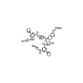 COC(=O)c1cc(NC2CN(C(C)=O)C2)nc(N2CC3CCC2C3)n1.COCOc1ccc2c(c1)CN(C(=O)OC(C)(C)C)[C@H]([C@H](O)CNC(=O)c1cc(NC3CN(C(C)=O)C3)nc(N3CC4CCC3C4)n1)C2